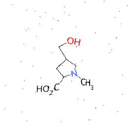 CN1CC(CO)CC1C(=O)O